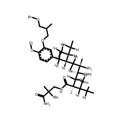 [2H]C([2H])([2H])C([2H])(C([2H])(C)C)[C@@](C)(C(=O)NCC(C)(C(N)=O)C(C)(C)C)C([2H])([2H])[C@]([2H])(OC)[C@@](C)(N)C([2H])(C)[C@]([2H])(C([2H])(C)c1ccc(OCC)c(OCC(C)COC(C)C)c1)C([2H])(C([2H])([2H])[2H])C([2H])([2H])C